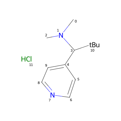 CN(C)C(c1ccncc1)C(C)(C)C.Cl